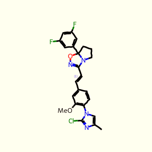 COc1cc(/C=C/C2=NOC3(c4cc(F)cc(F)c4)CCCN23)ccc1-n1cc(C)nc1Cl